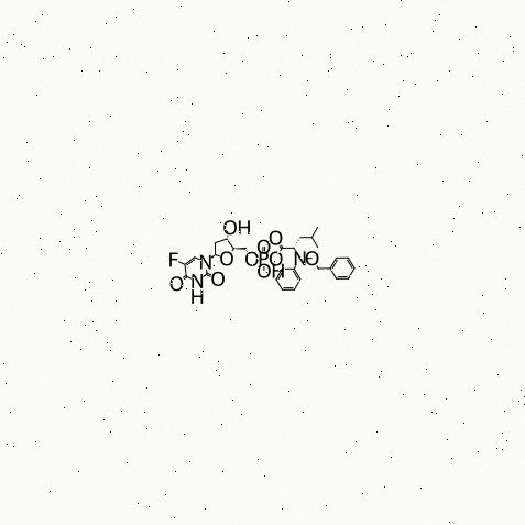 CC(C)C[C@@H](C(=O)OP(=O)(O)OC[C@H]1O[C@@H](n2cc(F)c(=O)[nH]c2=O)C[C@@H]1O)N(OCc1ccccc1)c1ccccc1